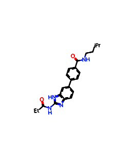 CCC(=O)Nc1nc2ccc(-c3ccc(C(=O)NCCC(C)C)cc3)cc2[nH]1